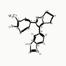 Cc1cc(-c2nn3c(c2-c2ccc4ncsc4c2)CCC3)ccc1F